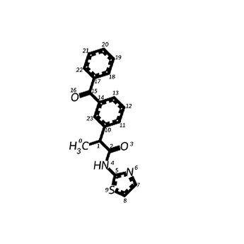 CC(C(=O)Nc1nccs1)c1cccc(C(=O)c2ccccc2)c1